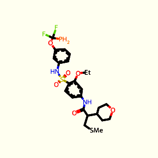 CCOc1cc(NC(=O)C(CSC)C2CCOCC2)ccc1S(=O)(=O)Nc1cccc(OC(F)(F)P)c1